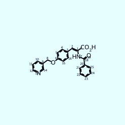 O=C(O)C(=Cc1ccc(OCc2cccnc2)cc1)NC(=O)c1ccccc1